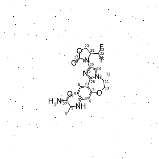 CC(Nc1ccc2c(c1)OC[C@@H](C)n1cc(N3C(=O)OC[C@H]3C(F)F)nc1-2)C(N)=O